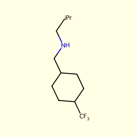 CC(C)CNCC1CCC(C(F)(F)F)CC1